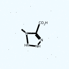 CN1NNN=C1C(=O)O